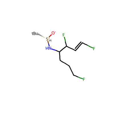 CC(C)(C)[S@+]([O-])NC(CCCF)C(F)C=CF